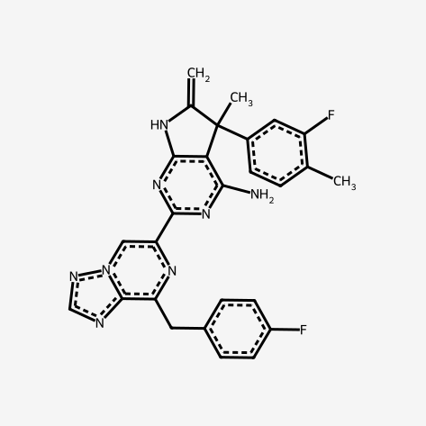 C=C1Nc2nc(-c3cn4ncnc4c(Cc4ccc(F)cc4)n3)nc(N)c2C1(C)c1ccc(C)c(F)c1